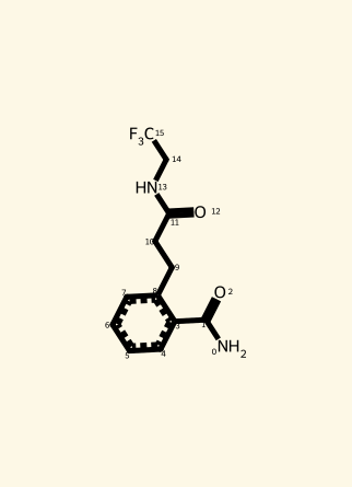 NC(=O)c1ccccc1[CH]CC(=O)NCC(F)(F)F